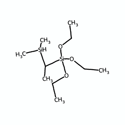 CCO[Si](OCC)(OCC)C(C)[SiH](C)C